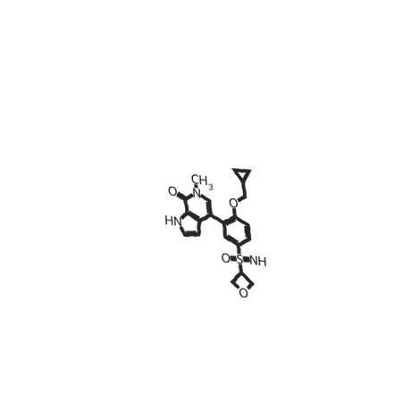 Cn1cc(-c2cc(S(=N)(=O)C3COC3)ccc2OCC2CC2)c2cc[nH]c2c1=O